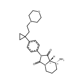 N[C@@H]1CCCN2C(=O)N(c3ccc(C4(CCN5CCOCC5)CC4)cc3)C(=O)[C@H]12